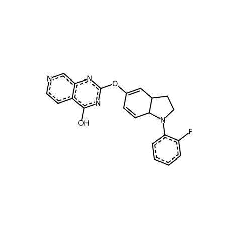 Oc1nc(OC2=CC3CCN(c4ccccc4F)C3C=C2)nc2cnccc12